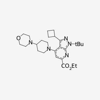 CCOC(=O)c1cc(N2CCC(N3CCOCC3)CC2)c2c(C3CCC3)nn(C(C)(C)C)c2n1